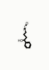 O=C=NCCCC(O)c1ccccc1